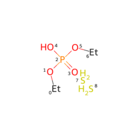 CCOP(=O)(O)OCC.S.S